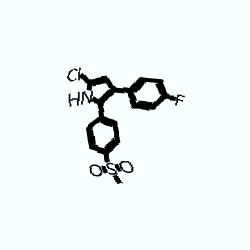 CS(=O)(=O)c1ccc(-c2[nH]c(Cl)cc2-c2ccc(F)cc2)cc1